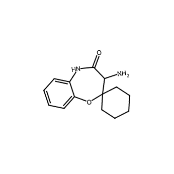 NC1C(=O)Nc2ccccc2OC12CCCCC2